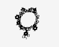 CC(C)C[C@H]1C(=O)N[C@@H](C2CCC2)C(=O)N(C)CC(=O)N(C)CC(=O)N(C)[C@@H](CC2CCCCC2)C(=O)N(C)CC(=O)N[C@@H](CCc2ccc(C(F)(F)F)c(Cl)c2)C(=O)N2CCC[C@H]2C(=O)NC2(CCCC2)C(=O)N(C)[C@@H](C2CCCCC2)C(=O)N(C)[C@H](C(=O)N2CCCC2)CC(=O)N1C